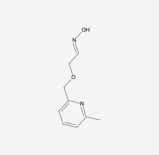 Cc1cccc(COCC=NO)n1